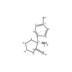 N[C@@]1(c2ccc(F)cc2)CCCCC1=O